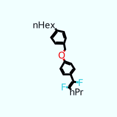 CCCCCCc1ccc(COc2ccc(C(F)=C(F)CCC)cc2)cc1